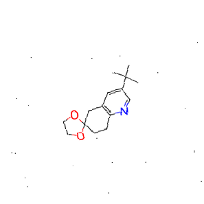 CC(C)(C)c1cnc2c(c1)CC1(CC2)OCCO1